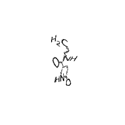 C=CCNC(=O)c1ccc(=O)[nH]c1